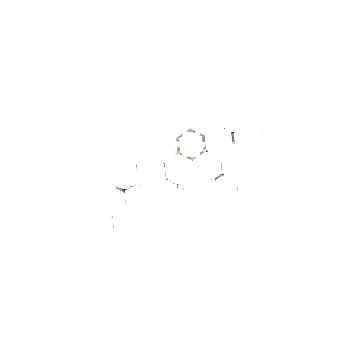 CC(C)CCOC(=O)OC(C)CC(c1ccc(OC(=O)CC(C)C)c(OC(=O)CC(C)C)c1)[C@H](N)C(=O)O